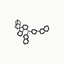 c1ccc2c(c1)-c1c(N(c3ccc(-c4ccc5ccccc5c4)cc3)c3ccc4ccccc4c3)cccc1C21C2CC3CC(C2)CC1C3